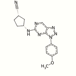 COc1ccc(-n2nnc3cnc(N[C@@H]4CC[C@H](C#N)C4)nc32)cc1